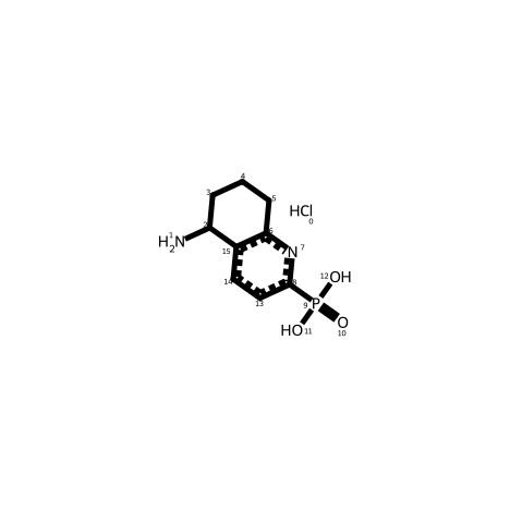 Cl.NC1CCCc2nc(P(=O)(O)O)ccc21